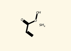 C=CC(=O)OO.[SiH4]